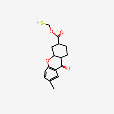 Cc1ccc2c(c1)C(=O)C1CCC(C(=O)OCS)CC1O2